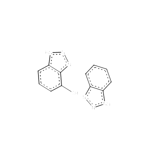 Sc1cccc2[nH]nnc12.c1ccc2[nH]nnc2c1